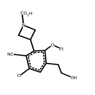 CCOc1c(CCO)cc(Cl)c(C#N)c1C1CN(C(=O)O)C1